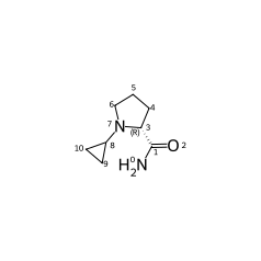 NC(=O)[C@H]1CCCN1C1CC1